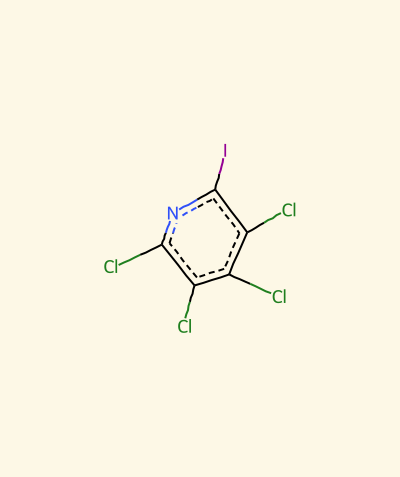 Clc1nc(I)c(Cl)c(Cl)c1Cl